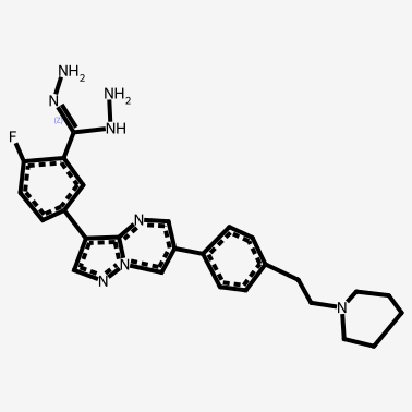 N/N=C(\NN)c1cc(-c2cnn3cc(-c4ccc(CCN5CCCCC5)cc4)cnc23)ccc1F